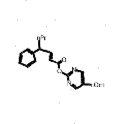 CCCCCCCCc1cnc(OC(=O)/C=C/C(CCC)c2ccccc2)nc1